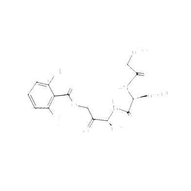 CCCCCCCCCCCC(=O)N[C@@H](CCCCC)C(=O)N[C@@H](CCCCC)C(=O)COC(=O)c1c(C(F)(F)F)cccc1C(F)(F)F